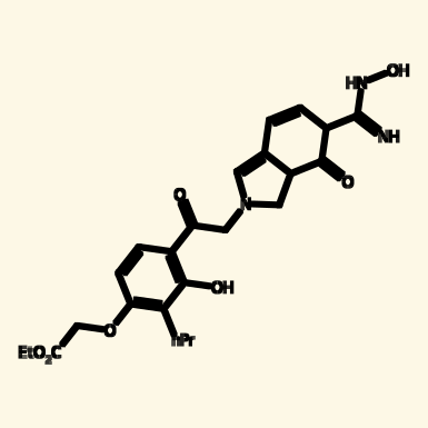 CCCc1c(OCC(=O)OCC)ccc(C(=O)CN2C=C3C=CC(C(=N)NO)C(=O)C3C2)c1O